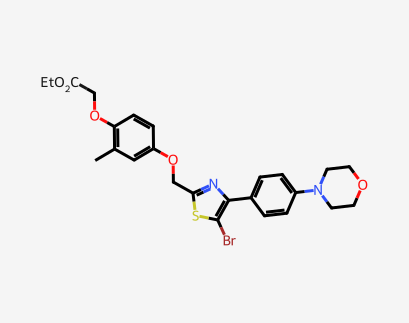 CCOC(=O)COc1ccc(OCc2nc(-c3ccc(N4CCOCC4)cc3)c(Br)s2)cc1C